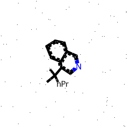 CCCC(C)(C)c1cncc2ccccc12